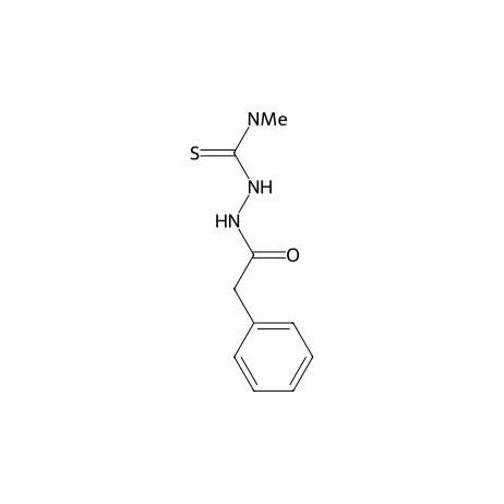 CNC(=S)NNC(=O)Cc1ccccc1